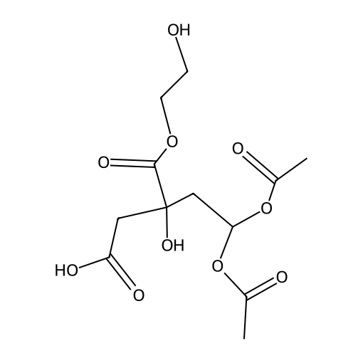 CC(=O)OC(CC(O)(CC(=O)O)C(=O)OCCO)OC(C)=O